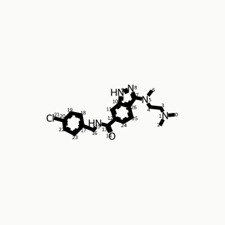 CN(C)CCN(C)c1n[nH]c2cc(C(=O)NCc3ccc(Cl)cc3)ccc12